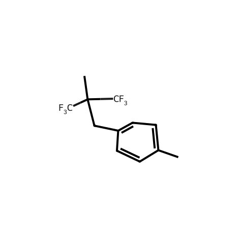 Cc1ccc(CC(C)(C(F)(F)F)C(F)(F)F)cc1